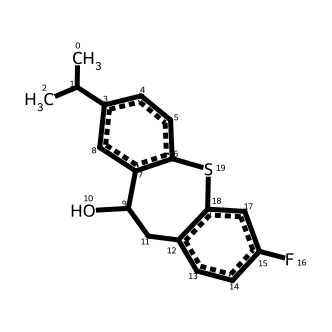 CC(C)c1ccc2c(c1)C(O)Cc1ccc(F)cc1S2